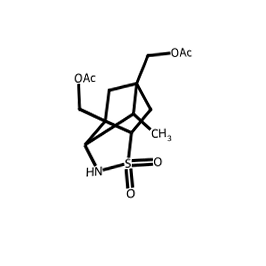 CC(=O)OCC12CC3C(COC(C)=O)(C1)C(NS3(=O)=O)C2C